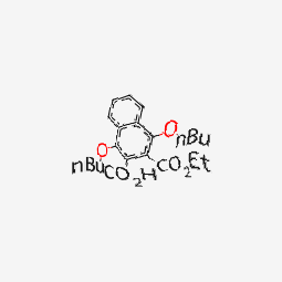 CCCCOc1c(C(=O)O)c(C(=O)OCC)c(OCCCC)c2ccccc12